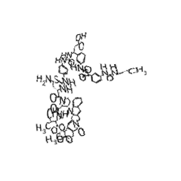 CCCNC(=O)Nc1cccc(S(=O)(=O)Nc2cccc(C(CC(=O)O)NC(=O)Nc3ccc(NC(=S)N[C@@H](CCN)C(=O)N4CCC[C@H]4C(=O)N[C@H](C(=O)O[C@]4(CC)C(=O)OCc5c4cc4n(c5=O)Cc5cc6ccccc6nc5-4)C(C)C)cc3)c2)c1